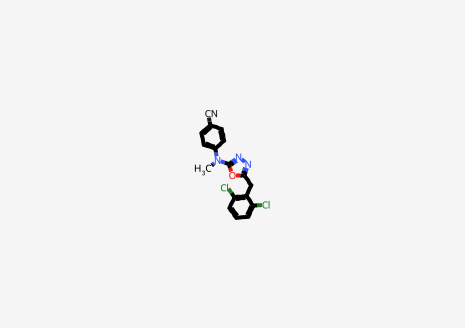 CN(c1ccc(C#N)cc1)c1nnc(Cc2c(Cl)cccc2Cl)o1